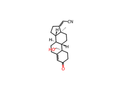 C[C@]12CC[C@H]3[C@@H](CCC4=CC(=O)CC[C@@]43CO)[C@@H]1CC/C2=C/C#N